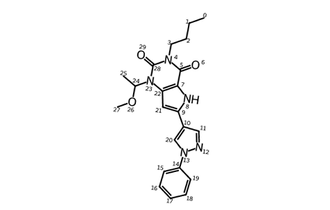 CCCCn1c(=O)c2[nH]c(-c3cnn(-c4ccccc4)c3)cc2n(C(C)OC)c1=O